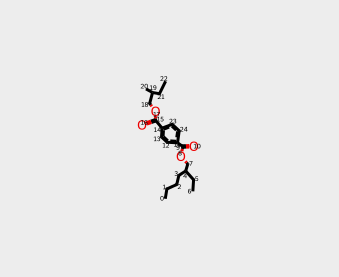 CCCCC(CC)COC(=O)c1ccc(C(=O)OCC(C)CC)cc1